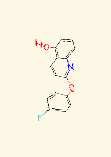 Oc1cccc2nc(Oc3ccc(F)cc3)ccc12